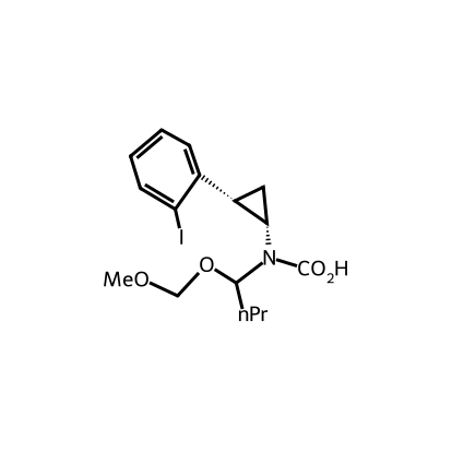 CCCC(OCOC)N(C(=O)O)[C@H]1C[C@H]1c1ccccc1I